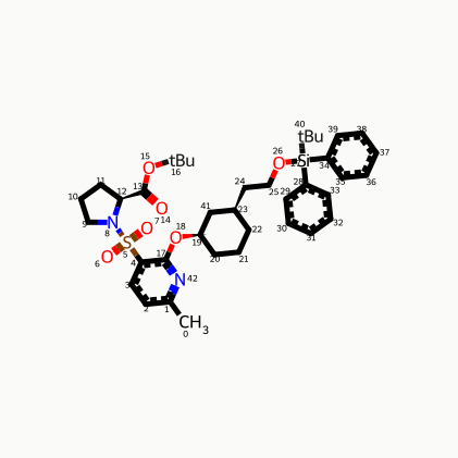 Cc1ccc(S(=O)(=O)N2CCC[C@H]2C(=O)OC(C)(C)C)c(O[C@@H]2CCC[C@H](CCO[Si](c3ccccc3)(c3ccccc3)C(C)(C)C)C2)n1